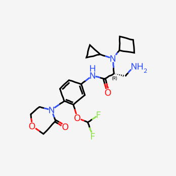 NC[C@H](C(=O)Nc1ccc(N2CCOCC2=O)c(OC(F)F)c1)N(C1CCC1)C1CC1